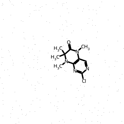 CN1C(=O)C(C)(C)N(C)c2nc(Cl)ncc21